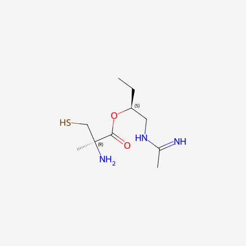 CC[C@@H](CNC(C)=N)OC(=O)[C@@](C)(N)CS